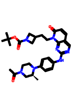 CC(=O)N1CCN(c2ccc(Nc3ncc4ccc(=O)n(CCC5CN(C(=O)OC(C)(C)C)C5)c4n3)cc2)[C@H](C)C1